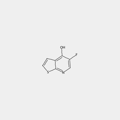 Oc1c(F)cnc2sccc12